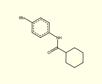 CC(C)(C)c1ccc(NC(=O)C2CCCCC2)cc1